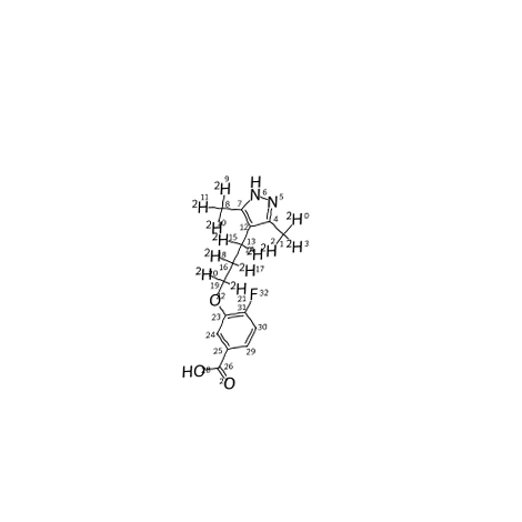 [2H]C([2H])([2H])c1n[nH]c(C([2H])([2H])[2H])c1C([2H])([2H])C([2H])([2H])C([2H])([2H])Oc1cc(C(=O)O)ccc1F